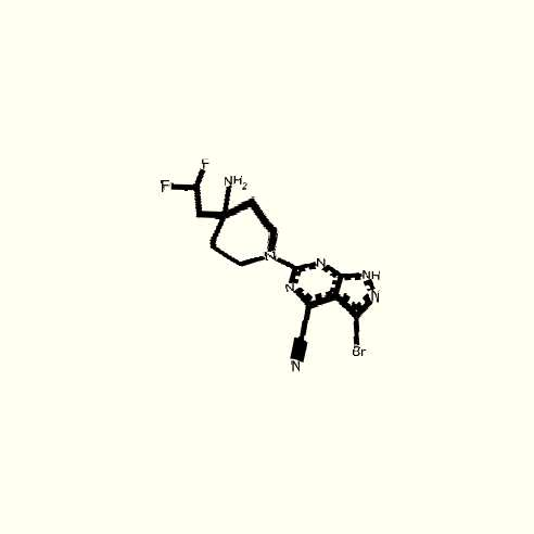 N#Cc1nc(N2CCC(N)(CC(F)F)CC2)nc2[nH]nc(Br)c12